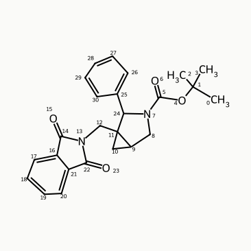 CC(C)(C)OC(=O)N1CC2CC2(CN2C(=O)c3ccccc3C2=O)C1c1ccccc1